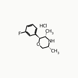 C[C@@H]1CO[C@@H](c2cccc(F)c2)[C@H](C)N1.Cl